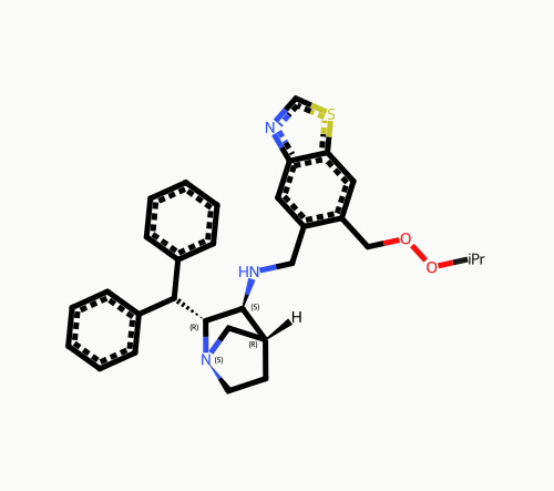 CC(C)OOCc1cc2scnc2cc1CN[C@H]1[C@@H]2CC[N@](C2)[C@@H]1C(c1ccccc1)c1ccccc1